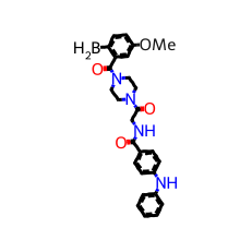 Bc1ccc(OC)cc1C(=O)N1CCN(C(=O)CNC(=O)c2ccc(Nc3ccccc3)cc2)CC1